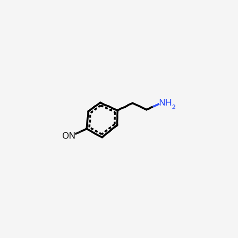 NCCc1ccc(N=O)cc1